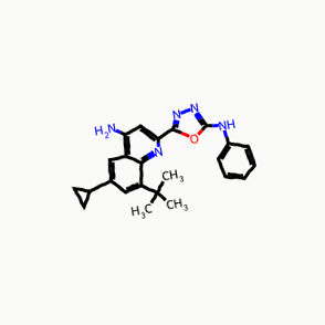 CC(C)(C)c1cc(C2CC2)cc2c(N)cc(-c3nnc(Nc4ccccc4)o3)nc12